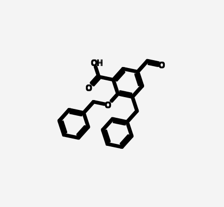 O=Cc1cc(Cc2ccccc2)c(OCc2ccccc2)c(C(=O)O)c1